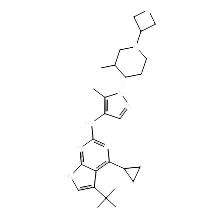 FC1CN(C2COC2)CC[C@@H]1n1ncc(Nc2nc(C3CC3)c3c(C(F)(F)F)c[nH]c3n2)c1Cl